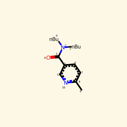 CCCCN(CCCC)C(=O)c1ccc(C)nc1